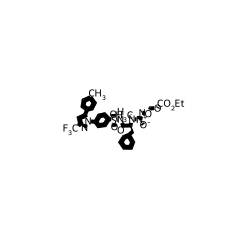 CCOC(=O)OCO/N=[N+](\[O-])N(C)[C@@H](Cc1ccccc1)C(=O)NS(=O)(=O)c1ccc(-n2nc(C(F)(F)F)cc2-c2ccc(C)cc2)cc1